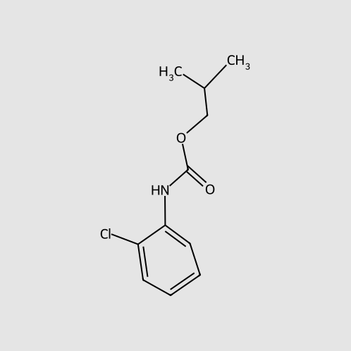 CC(C)COC(=O)Nc1ccccc1Cl